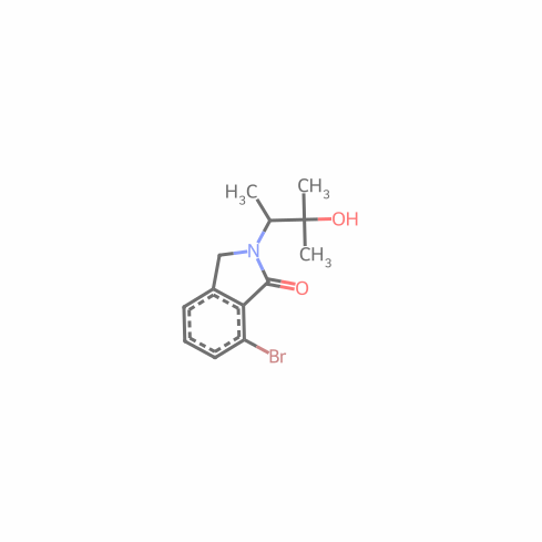 CC(N1Cc2cccc(Br)c2C1=O)C(C)(C)O